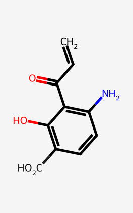 C=CC(=O)c1c(N)ccc(C(=O)O)c1O